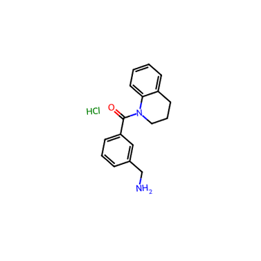 Cl.NCc1cccc(C(=O)N2CCCc3ccccc32)c1